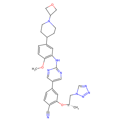 COc1ccc(C2CCN(C3COC3)CC2)cc1Nc1ncc(-c2ccc(C#N)c(O[C@@H](C)Cn3cnnn3)c2)cn1